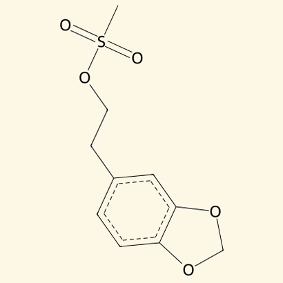 CS(=O)(=O)OCCc1ccc2c(c1)OCO2